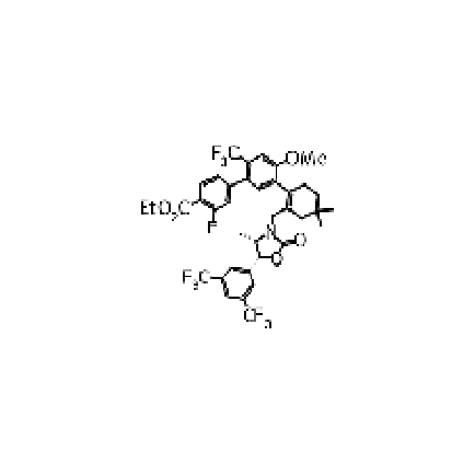 CCOC(=O)c1ccc(-c2cc(C3=C(CN4C(=O)O[C@H](c5cc(C(F)(F)F)cc(C(F)(F)F)c5)[C@@H]4C)CC(C)(C)CC3)c(OC)cc2C(F)(F)F)cc1F